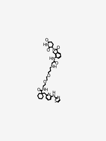 O=C1CCC(N2Cc3c(NC(=O)CNCCCOCCOCCNC(=O)C4(Cc5cccc(Nc6nccs6)n5)CCCCC4)cccc3C2=O)C(=O)N1